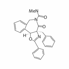 CNC(=O)N1Cc2ccccc2[C@@H]2OC(c3ccccc3)=N[C@]2(Cc2ccccc2)C1=O